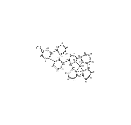 Clc1cccc(-c2ccccc2-c2ccccc2-c2cccc3c2-c2ccccc2C32c3ccccc3-c3ccccc32)c1